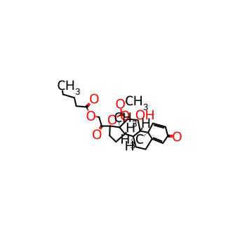 CCCCC(=O)OCC(=O)[C@@]1(OC(=O)OC)CC[C@H]2[C@@H]3CCC4=CC(=O)C=C[C@]4(C)[C@H]3C(O)C[C@@]21C